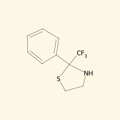 FC(F)(F)C1(c2ccccc2)NCCS1